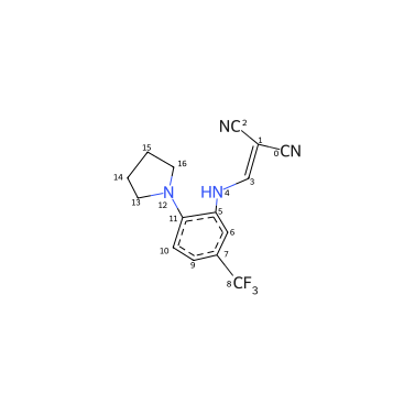 N#CC(C#N)=CNc1cc(C(F)(F)F)ccc1N1CCCC1